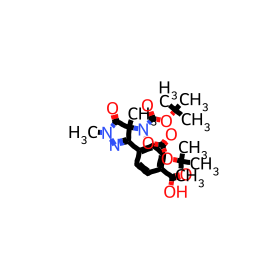 CN1N=C(c2ccc(C(=O)O)cc2)C(C)(N(OC(=O)OC(C)(C)C)C(=O)OC(C)(C)C)C1=O